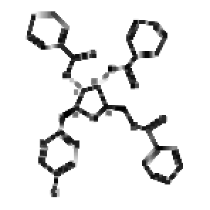 O=C(OC[C@H]1O[C@@H](Sc2ncc(Cl)cn2)[C@H](OC(=O)c2ccccc2)[C@@H]1OC(=O)c1ccccc1)c1ccccc1